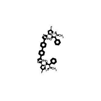 CN(C)[C@@H](C(=O)N1C[C@@H](F)C[C@H]1c1ncc(-c2ccc(-c3ccc(-c4cnc([C@@H]5C[C@H](F)CN5C(=O)[C@@H](c5ccccc5)N(C)C)[nH]4)cc3)cc2)[nH]1)c1ccccc1